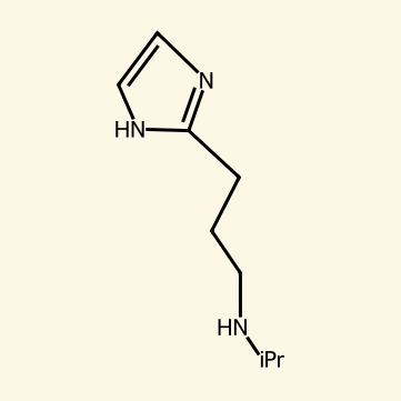 CC(C)NCCCc1ncc[nH]1